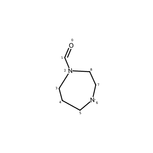 O=CN1CCC[N]CC1